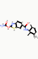 Cc1ccc([N+](=O)[O-])c(C)c1NC(=O)c1ccc2nc(OC(N)=O)sc2c1